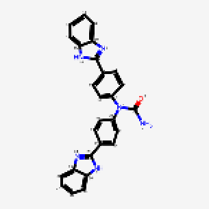 NC(=O)N(c1ccc(-c2nc3ccccc3[nH]2)cc1)c1ccc(-c2nc3ccccc3[nH]2)cc1